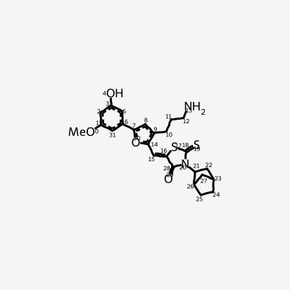 COc1cc(O)cc(-c2cc(CCCN)c(C=C3SC(=S)N(C4CC5CCC4C5)C3=O)o2)c1